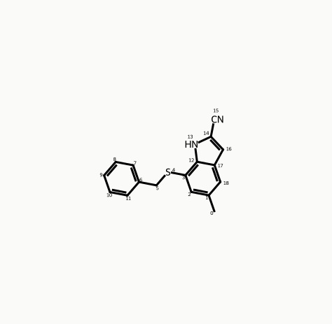 Cc1cc(SCc2ccccc2)c2[nH]c(C#N)cc2c1